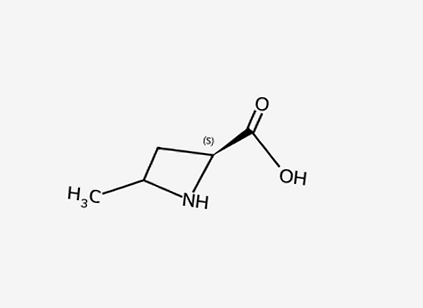 CC1C[C@@H](C(=O)O)N1